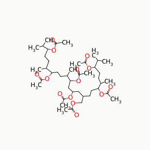 CC(=O)OCC(CCC(OC(C)=O)C(C)CCC(OC(C)=O)C(C)C)CC(CC(OC(C)=O)C(C)CCC(OC(C)=O)C(C)CCC(OC(C)=O)C(C)C)OC(C)=O